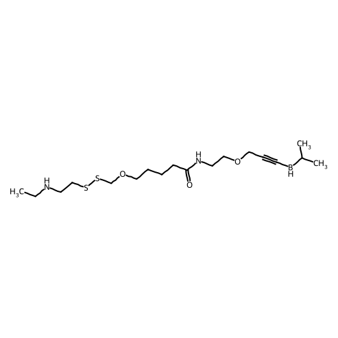 CCNCCSSCOCCCCC(=O)NCCOCC#CBC(C)C